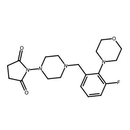 O=C1CCC(=O)N1N1CCN(Cc2cccc(F)c2N2CCOCC2)CC1